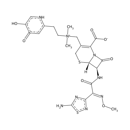 CON=C(C(=O)N[C@@H]1C(=O)N2C(C(=O)[O-])=C(C[N+](C)(C)CCc3cc(=O)c(O)c[nH]3)CS[C@@H]12)c1nsc(N)n1